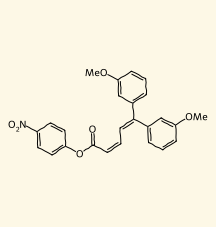 COc1cccc(C(=C/C=C\C(=O)Oc2ccc([N+](=O)[O-])cc2)c2cccc(OC)c2)c1